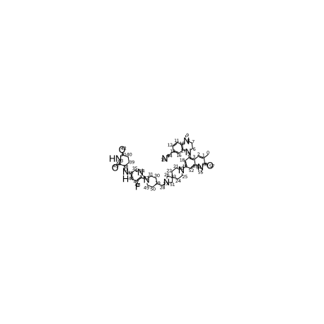 Cc1cc2c(N3CCN(C)c4ccc(C#N)cc43)cc(N3CCC4(CC3)CN(CC3CCN(c5ncc(NC6CCC(=O)NC6=O)cc5F)CC3)C4)cc2n(C)c1=O